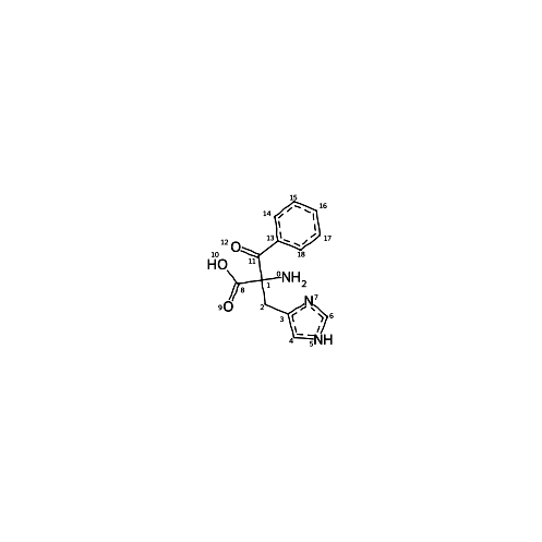 NC(Cc1c[nH]cn1)(C(=O)O)C(=O)c1ccccc1